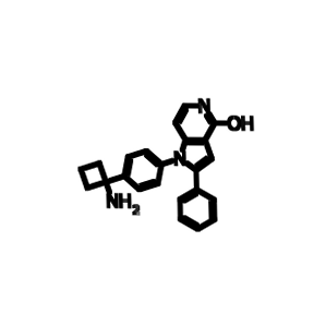 NC1(c2ccc(-n3c(-c4ccccc4)cc4c(O)nccc43)cc2)CCC1